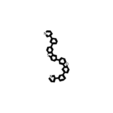 c1cncc(-c2cccc(-c3ccc4oc5ccc(-c6ccc7sc8ccc(-c9cccc(-c%10cccnc%10)c9)cc8c7c6)cc5c4c3)c2)c1